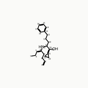 C=CCC/C(=C\CC)NC(CCCc1ccccc1)C(O)=C1CC1